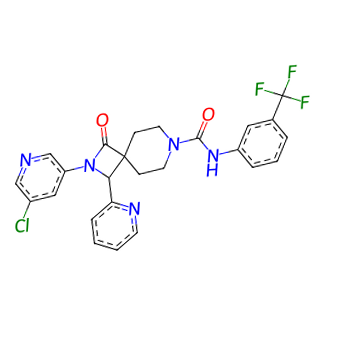 O=C(Nc1cccc(C(F)(F)F)c1)N1CCC2(CC1)C(=O)N(c1cncc(Cl)c1)C2c1ccccn1